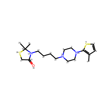 Cc1ccsc1N1CCN(CCCCN2C(=O)CSC2(C)C)CC1